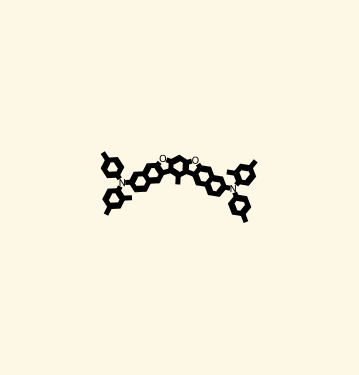 Cc1ccc(N(c2ccc3cc4c(cc3c2)oc2cc3oc5cc6cc(N(c7ccc(C)cc7)c7ccc(C)cc7C)ccc6cc5c3c(C)c24)c2ccc(C)cc2C)cc1